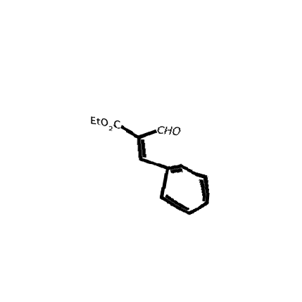 CCOC(=O)C(C=O)=Cc1ccccc1